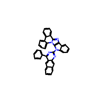 c1ccc(-c2nc(-n3c4ccccc4c4nc5c6ccccc6c6ccccc6n5c43)nc3cc4ccccc4cc23)cc1